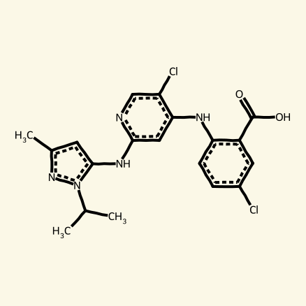 Cc1cc(Nc2cc(Nc3ccc(Cl)cc3C(=O)O)c(Cl)cn2)n(C(C)C)n1